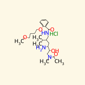 COCCCCOc1ccccc1C(=O)NCC(CC(N)C(O)CN(C)C(C)=O)C(C)C.Cl